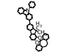 CC1(C)c2cc(-c3ccc4c(c3)c3ccccc3n4-c3ccccc3)ccc2-c2ccc3c(c21)OC1(O3)c2ccccc2CCc2ccccc21